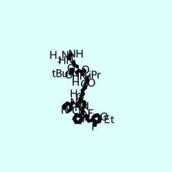 CCOc1cc(F)c(Cn2nc(-c3ncc(OCCCOC(=O)[C@@H](NC(=O)[C@H](CCCNC(=N)N)NC(=O)OC(C)(C)C)C(C)C)c(Nc4ccncc4Cl)n3)c3ccccc32)c(F)c1